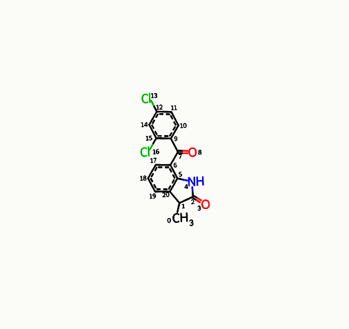 CC1C(=O)Nc2c(C(=O)c3ccc(Cl)cc3Cl)cccc21